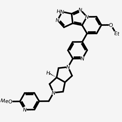 CCOc1cc(-c2ccc(N3CC4CN(Cc5ccc(OC)nc5)C[C@H]4C3)nc2)c2c3cn[nH]c3nn2c1